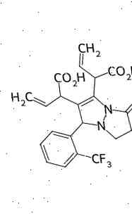 C=CC(C(=O)O)C1=C(C(C=C)C(=O)O)N2C(=O)CCN2C1c1ccccc1C(F)(F)F